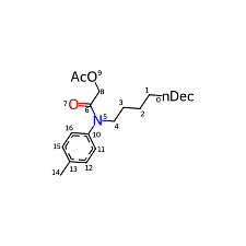 CCCCCCCCCCCCCCN(C(=O)COC(C)=O)c1ccc(C)cc1